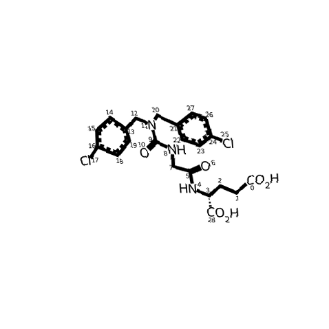 O=C(O)CC[C@@H](NC(=O)CNC(=O)N(Cc1ccc(Cl)cc1)Cc1ccc(Cl)cc1)C(=O)O